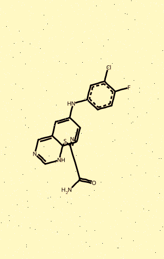 NC(=O)C1=NC2=CC(Nc3ccc(F)c(Cl)c3)=CC3=CN=CNC32S1